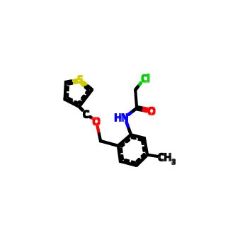 Cc1ccc(COCc2ccsc2)c(NC(=O)CCl)c1